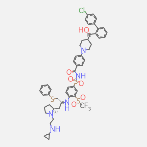 O=C(NS(=O)(=O)c1ccc(N[C@@H](CSc2ccccc2)C[C@@H]2CCCN2CCNC2CC2)c(S(=O)(=O)C(F)(F)F)c1)c1ccc(N2CCC([C@@H](O)c3ccccc3-c3ccc(Cl)cc3)CC2)cc1